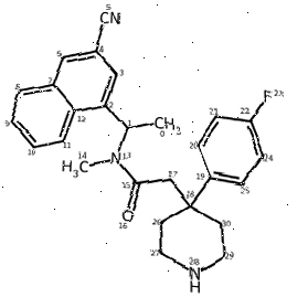 CC(c1cc(C#N)cc2ccccc12)N(C)C(=O)CC1(c2ccc(F)cc2)CCNCC1